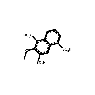 O=C(O)c1c(OI)c(S(=O)(=O)O)cc2c(S(=O)(=O)O)cccc12